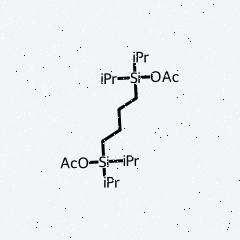 CC(=O)O[Si](CCCC[Si](OC(C)=O)(C(C)C)C(C)C)(C(C)C)C(C)C